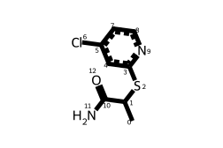 CC(Sc1cc(Cl)ccn1)C(N)=O